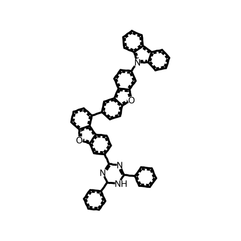 c1ccc(C2=NC(c3ccc4c(c3)oc3cccc(-c5ccc6oc7cc(-n8c9ccccc9c9ccccc98)ccc7c6c5)c34)=NC(c3ccccc3)N2)cc1